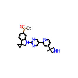 CC[S+]([O-])c1ccc2c(c1)N(c1ncc(-c3cc(C4(C)CNC4)ccn3)cn1)CC21CC1